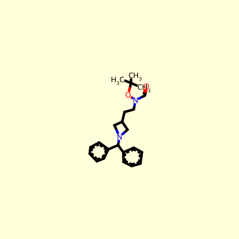 CC(C)(C)ON(C=O)CCC1CN(C(c2ccccc2)c2ccccc2)C1